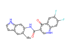 CC(C)(C)c1cc2cc[nH]c2cc1NC(=O)c1c[nH]c2cc(F)c(F)cc2c1=O